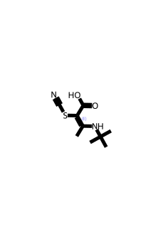 C/C(NC(C)(C)C)=C(\SC#N)C(=O)O